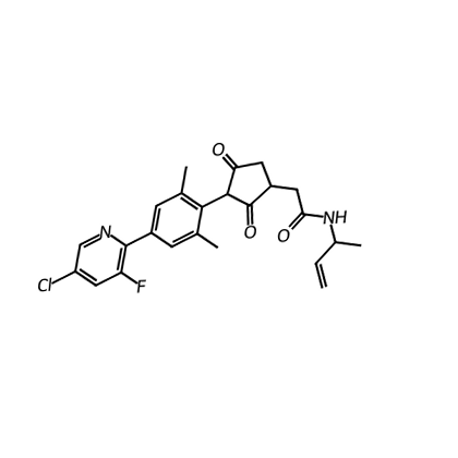 C=CC(C)NC(=O)CC1CC(=O)C(c2c(C)cc(-c3ncc(Cl)cc3F)cc2C)C1=O